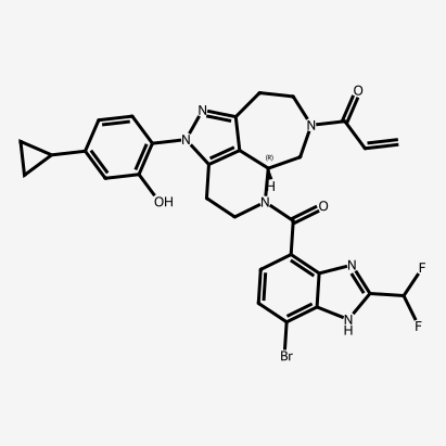 C=CC(=O)N1CCc2nn(-c3ccc(C4CC4)cc3O)c3c2[C@H](C1)N(C(=O)c1ccc(Br)c2[nH]c(C(F)F)nc12)CC3